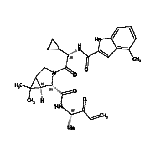 C=CC(=O)[C@@H](NC(=O)[C@@H]1[C@@H]2C(CN1C(=O)[C@@H](NC(=O)c1cc3c(C)cccc3[nH]1)C1CC1)C2(C)C)C(C)(C)C